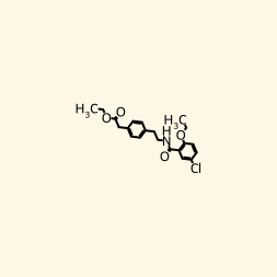 CCOC(=O)Cc1ccc(CCNC(=O)c2cc(Cl)ccc2OCC)cc1